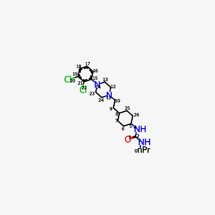 CCCNC(=O)NC1CCC(CCN2CCN(c3cccc(Cl)c3Cl)CC2)CC1